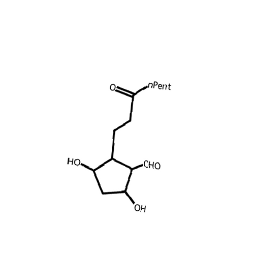 CCCCCC(=O)CCC1C(O)CC(O)C1C=O